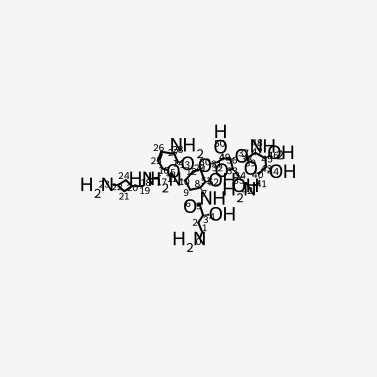 NCC[C@H](O)C(=O)N[C@@H]1C[C@H](N)[C@@H](O[C@H]2O[C@H](CNCC3CC(N)C3)C=C[C@H]2N)[C@H](O[C@@H]2O[C@H](CO)[C@@H](O[C@H]3O[C@@H](CN)[C@@H](O)[C@H](O)[C@H]3N)[C@H]2O)[C@H]1O